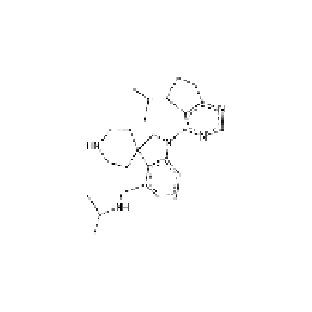 CC(C)NCc1cccc2c1C1(CCNCC1)CN2c1ncnc2c1[C@H](C(C)C)CC2